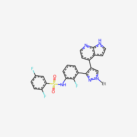 CCn1cc(-c2ccnc3[nH]ccc23)c(-c2cccc(NS(=O)(=O)c3cc(F)ccc3F)c2F)n1